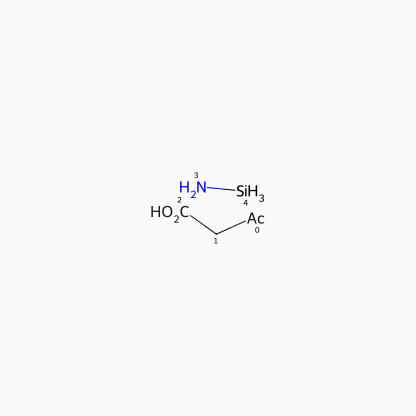 CC(=O)CC(=O)O.N[SiH3]